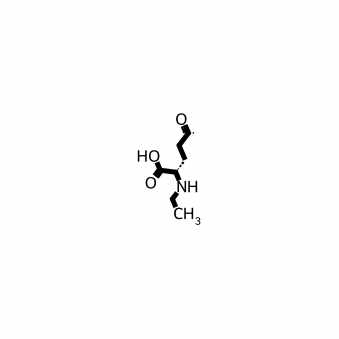 CCN[C@@H](CC[C]=O)C(=O)O